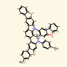 CC(C)(C)c1ccc(Nc2cc3sc4cc(C(C)(C)C)ccc4c3cc2-c2ccc3c4cc5c(cc4n4c3c2Bc2cc3oc6ccccc6c3cc2-4)sc2ccccc25)cc1